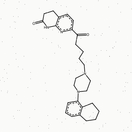 O=C1CCc2ccc(C(=O)CCCCN3CCN(c4cccc5c4CCCC5)CC3)nc2N1